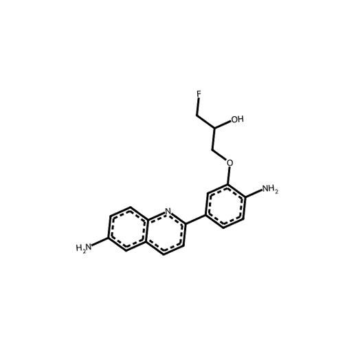 Nc1ccc2nc(-c3ccc(N)c(OCC(O)CF)c3)ccc2c1